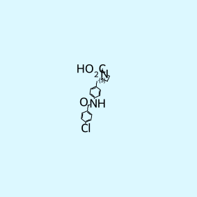 O=C(Nc1ccc(C[C@H]2CCN2C(=O)O)cc1)c1ccc(Cl)cc1